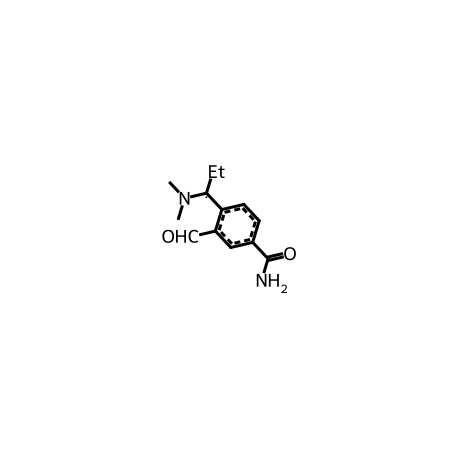 CC[C](c1ccc(C(N)=O)cc1C=O)N(C)C